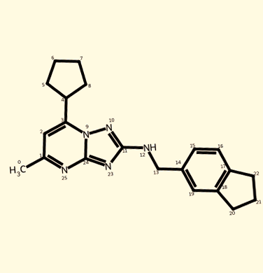 Cc1cc(C2CCCC2)n2nc(NCc3ccc4c(c3)CCC4)nc2n1